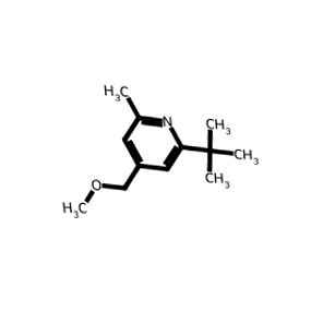 COCc1cc(C)nc(C(C)(C)C)c1